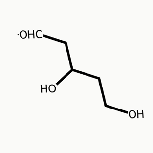 O=[C]CC(O)CCO